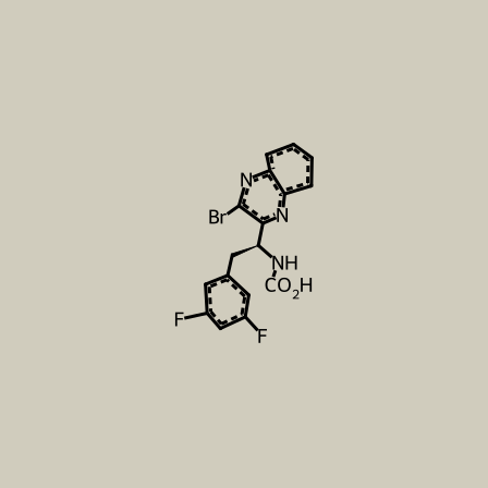 O=C(O)N[C@@H](Cc1cc(F)cc(F)c1)c1nc2ccccc2nc1Br